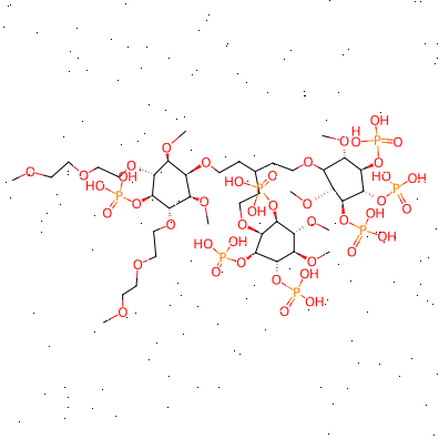 COCCOCCO[C@@H]1[C@@H](OC)[C@@H](OCCC(CCOC2[C@@H](OC)[C@H](OP(=O)(O)O)[C@@H](OP(=O)(O)O)[C@H](OP(=O)(O)O)[C@H]2OC)CCO[C@H]2[C@@H](OP(=O)(O)O)[C@H](OC)[C@@H](OC)[C@H](OP(=O)(O)O)[C@H]2OP(=O)(O)O)[C@@H](OC)[C@H](OCCOCCOC)[C@H]1OP(=O)(O)O